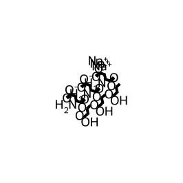 CC(CC(=O)O)OC(=O)[C@@H](N)CC(=O)[O-].CC(CC(=O)O)OC(=O)[C@@H](N)CC(=O)[O-].CC(CC(=O)O)OC(=O)[C@@H](N)CC(=O)[O-].[Na+].[Na+].[Na+]